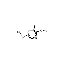 COc1ncc(NO)cc1I